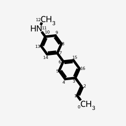 CC=Cc1ccc(-c2ccc(NC)cc2)cc1